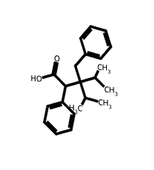 CC(C)C(Cc1ccccc1)(C(C)C)C(C(=O)O)c1ccccc1